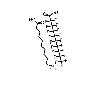 CCCCCCCCCCC(=O)O.O=C(O)C(F)(F)C(F)(F)C(F)(F)C(F)(F)C(F)(F)C(F)(F)C(F)(F)C(F)(F)C(F)(F)F